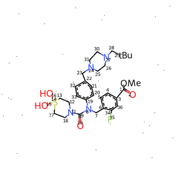 COC(=O)c1ccc(CN(C(=O)N2CCS(O)(O)CC2)c2ccc(CN3CCN(CC(C)(C)C)CC3)cc2)c(F)c1